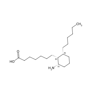 CCCCCC[C@@H]1CCC[C@H](N)[C@@H]1CCCCCCC(=O)O